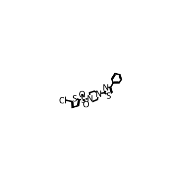 O=S(=O)(c1ccc(Cl)s1)N1CCN(c2nc(-c3ccccc3)cs2)CC1